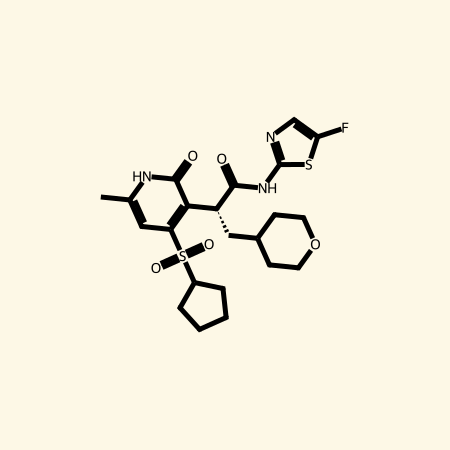 Cc1cc(S(=O)(=O)C2CCCC2)c([C@@H](CC2CCOCC2)C(=O)Nc2ncc(F)s2)c(=O)[nH]1